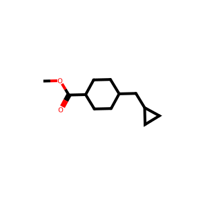 COC(=O)C1CCC(CC2CC2)CC1